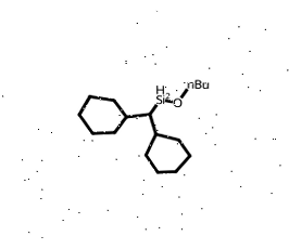 CCCCO[SiH2]C(C1CCCCC1)C1CCCCC1